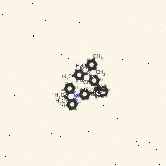 Cc1cc(C)c(B(c2ccc(C34CC5CC(C3)CC(c3ccc(N6c7ccccc7C(C)(C)c7ccccc76)cc3)(C5)C4)cc2)c2c(C)cc(C)cc2C)c(C)c1